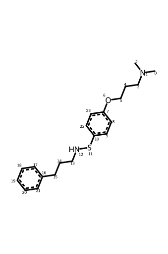 CN(C)CCCOc1ccc(SNCCCc2ccccc2)cc1